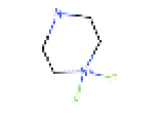 F[N+]1(F)CC[N]CC1